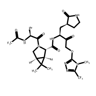 CC(C)[C@H](NC(=O)C(F)(F)F)C(=O)N1C[C@H]2[C@@H]([C@H]1C(=O)N[C@@H](C[C@@H]1CCNC1=O)C(=O)COc1nnc(C(F)(F)F)n1C)C2(C)C